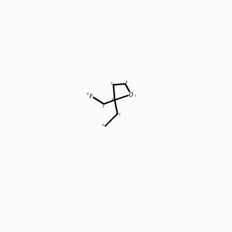 CCC1(CF)CCO1